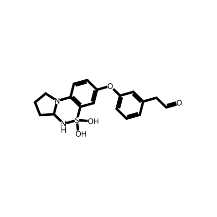 O=CCc1cccc(Oc2ccc3c(c2)S(O)(O)NC2CCCN32)c1